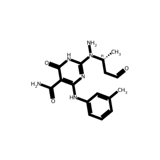 Cc1cccc(Nc2nc(N(N)[C@H](C)CC=O)[nH]c(=O)c2C(N)=O)c1